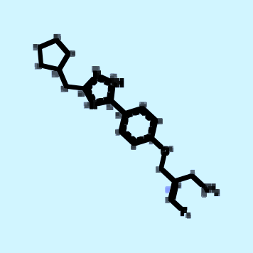 NC/C(=C\F)COc1ccc(-c2nc(CC3CCCC3)n[nH]2)cc1